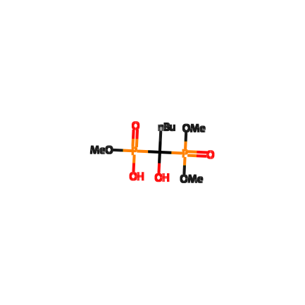 CCCCC(O)(P(=O)(O)OC)P(=O)(OC)OC